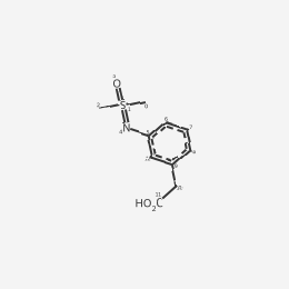 CS(C)(=O)=Nc1cccc(CC(=O)O)c1